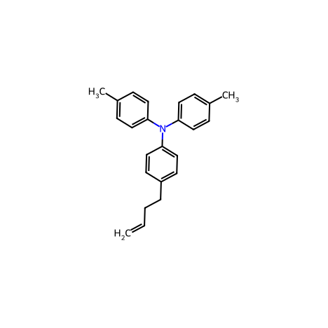 C=CCCc1ccc(N(c2ccc(C)cc2)c2ccc(C)cc2)cc1